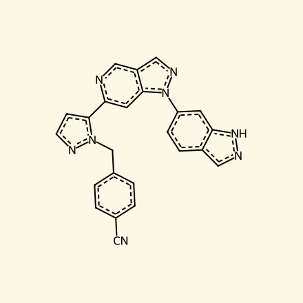 N#Cc1ccc(Cn2nccc2-c2cc3c(cn2)cnn3-c2ccc3cn[nH]c3c2)cc1